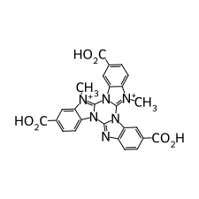 C[n+]1c2ccc(C(=O)O)cc2n2c1n1c3cc(C(=O)O)ccc3nc1n1c3ccc(C(=O)O)cc3[n+](C)c12